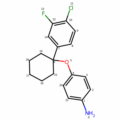 Nc1ccc(OC2(c3ccc(Cl)c(F)c3)CCCCC2)cc1